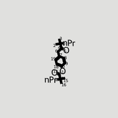 CCCC(C)(C)C(=O)Cc1ccc(OC(=O)C(C)(C)CCC)cc1